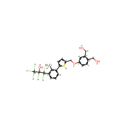 Cc1c(-c2ccc(COc3ccc(CO)c(CO)c3)s2)cccc1C(F)(F)C(O)(F)C(F)(F)F